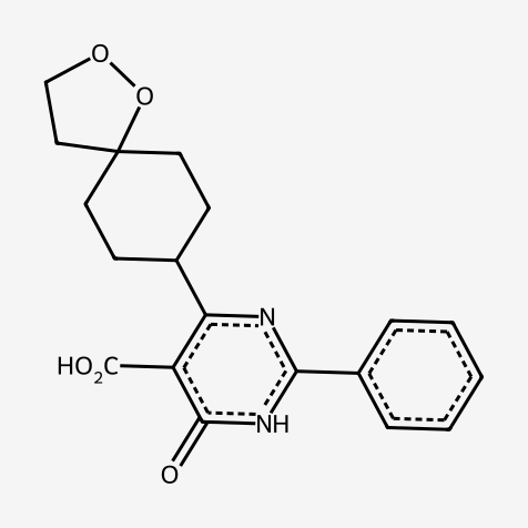 O=C(O)c1c(C2CCC3(CCOO3)CC2)nc(-c2ccccc2)[nH]c1=O